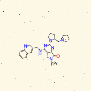 CCCN1Cc2c(NCc3cnc4ccccc4c3)nc(N3CCC[C@H]3CN3CCCC3)nc2C1=O